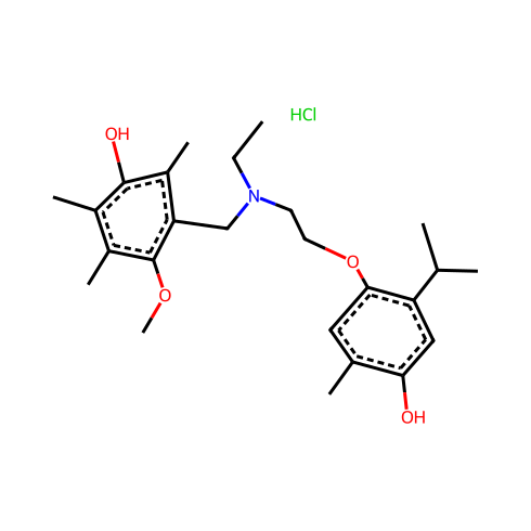 CCN(CCOc1cc(C)c(O)cc1C(C)C)Cc1c(C)c(O)c(C)c(C)c1OC.Cl